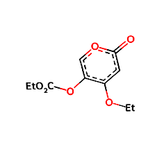 CCOC(=O)Oc1coc(=O)cc1OCC